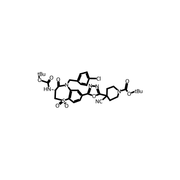 CC(C)(C)OC(=O)N[C@H]1CS(=O)(=O)c2ccc(-c3nnc(C4(C#N)CCN(C(=O)OC(C)(C)C)CC4)o3)cc2N(Cc2ccc(Cl)cc2)C1=O